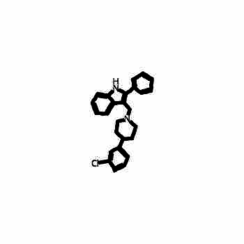 Clc1cccc(C2CCN(Cc3c(-c4ccccc4)[nH]c4ccccc34)CC2)c1